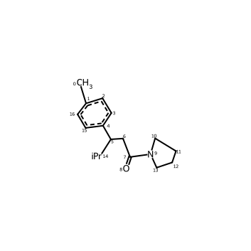 Cc1ccc(C(CC(=O)N2CCCC2)C(C)C)cc1